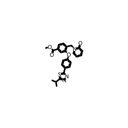 COC(=O)c1ccc(Cn2ccccc2=O)c(Oc2ccc(-c3nnc(C(C)C)s3)cc2)c1